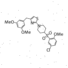 COc1cc(Cc2csc(N3CCC(S(=O)(=O)c4cc(Cl)ccc4OC)CC3)n2)cc(OC)c1